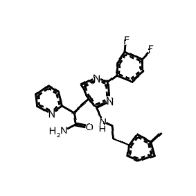 Cc1cccc(CCNc2nc(-c3ccc(F)c(F)c3)ncc2C(C(N)=O)c2ccccn2)c1